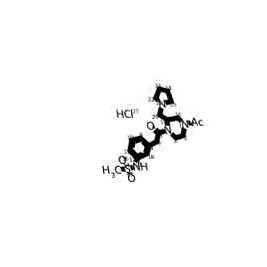 CC(=O)N1CCN(C(=O)Cc2cccc(NS(C)(=O)=O)c2)C(CN2CCCC2)C1.Cl